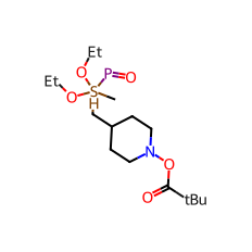 CCO[SH](C)(CC1CCN(OC(=O)C(C)(C)C)CC1)(OCC)P=O